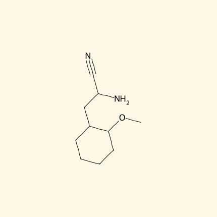 COC1CCCCC1CC(N)C#N